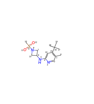 Cc1cnc(NC2CN(S(C)(=O)=O)C2)cc1C(C)(C)C